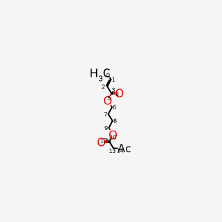 CC=CC(=O)OCCCCOC(=O)CC(C)=O